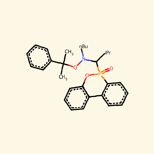 CCCCN(OC(C)(C)c1ccccc1)C(C(C)C)P1(=O)Oc2ccccc2-c2ccccc21